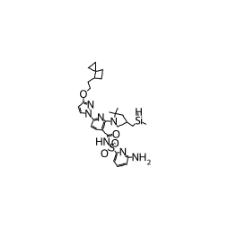 C[SiH](C)CC1CN(c2nc(-n3ccc(OCCC4CCC45CC5)n3)ccc2C(=O)NS(=O)(=O)c2cccc(N)n2)C(C)(C)C1